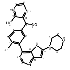 O=NC(c1ccc(F)c(-c2ncnc3cc(N4CCOCC4)sc23)c1)c1nccnc1O